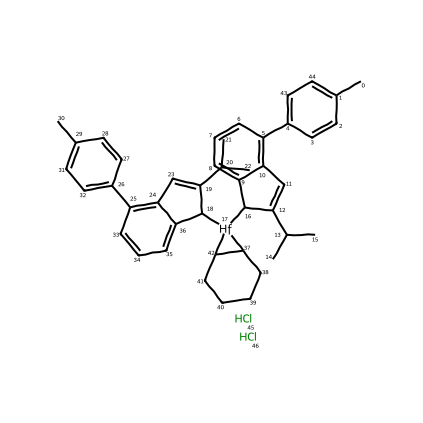 Cc1ccc(-c2cccc3c2C=C(C(C)C)[CH]3[Hf]2([CH]3C(C(C)C)=Cc4c(-c5ccc(C)cc5)cccc43)[CH]3CCCC[CH]32)cc1.Cl.Cl